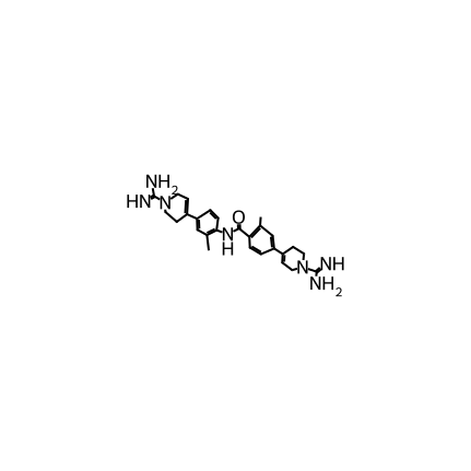 Cc1cc(C2=CCN(C(=N)N)CC2)ccc1NC(=O)c1ccc(C2=CCN(C(=N)N)CC2)cc1C